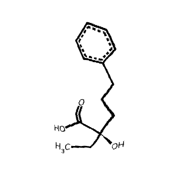 CC[C@@](O)(CCCc1ccccc1)C(=O)O